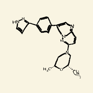 C[C@@H]1CN(c2ccc3ncc(-c4ccc(-c5cc[nH]n5)cc4)n3n2)C[C@H](C)O1